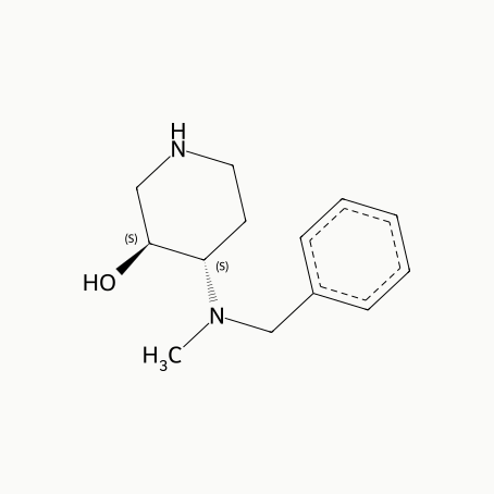 CN(Cc1ccccc1)[C@H]1CCNC[C@@H]1O